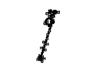 C[C@@H]1CCC[C@H](n2cnc(-c3cc(Cl)ccc3-n3cc(Cl)nn3)cc2=O)c2cc(ccn2)-c2nn(CCOCCOCCOCCC(=O)NCCNC(=O)CCCC[C@@H]3SC[C@@H]4NC(=O)N[C@@H]43)cc2NC1=O